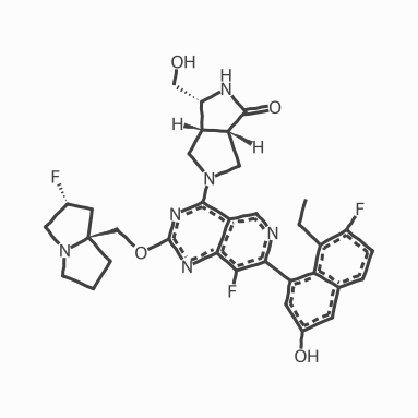 CCc1c(F)ccc2cc(O)cc(-c3ncc4c(N5C[C@@H]6[C@H](CO)NC(=O)[C@@H]6C5)nc(OC[C@@]56CCCN5C[C@H](F)C6)nc4c3F)c12